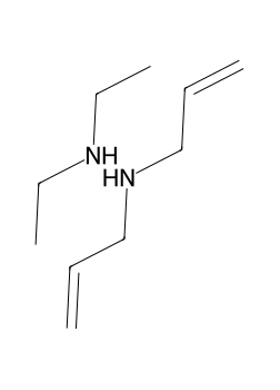 C=CCNCC=C.CCNCC